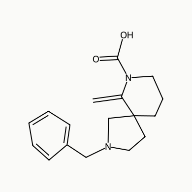 C=C1N(C(=O)O)CCCC12CCN(Cc1ccccc1)C2